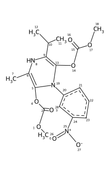 COC(=O)OC1=C(C)NC(C(C)C)=C(OC(=O)OC)N1c1cccc([N+](=O)[O-])c1